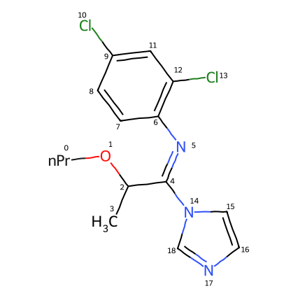 CCCOC(C)/C(=N\c1ccc(Cl)cc1Cl)n1ccnc1